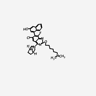 CN(C)CCCCCCOc1nc(N2C[C@H]3CC[C@@H](C2)N3)c2cc(Cl)c(-c3cc(O)cc4ccccc34)c(F)c2n1